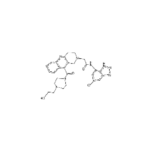 O=C(CN1CCc2nc3ccccc3c(C(=O)N3CCN(CCO)CC3)c2C1)Nc1cc(Cl)cc2nn[nH]c12